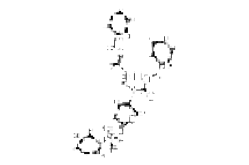 O=C(NCC(C(=O)OCc1ccccc1)c1ccc(OS(=O)(=O)c2ccccc2)cc1)OCc1ccccc1